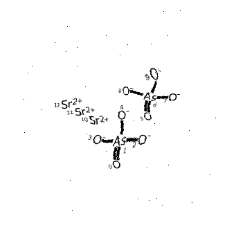 O=[As]([O-])([O-])[O-].O=[As]([O-])([O-])[O-].[Sr+2].[Sr+2].[Sr+2]